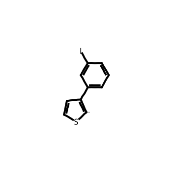 Ic1cccc(-c2[c]scc2)c1